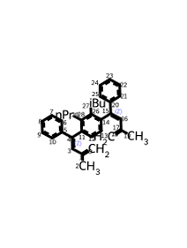 C=C(C)/C=C(/c1ccccc1)c1ccc(/C(=C\C(=C)C)c2ccccc2)c(C(C)CC)c1CCC